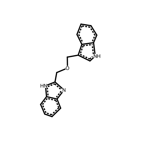 c1ccc2[nH]c(COCc3c[nH]c4ccccc34)nc2c1